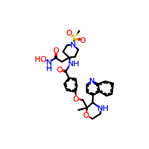 CC1(COc2ccc(C(=O)NC3(CC(=O)NO)CCN(S(C)(=O)=O)CC3)cc2)OCCNC1c1ccnc2ccccc12